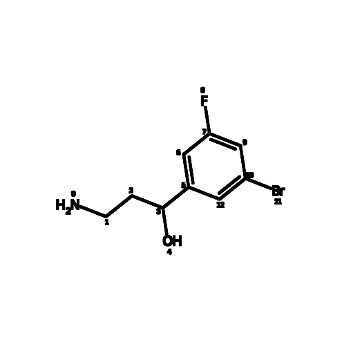 NCCC(O)c1cc(F)cc(Br)c1